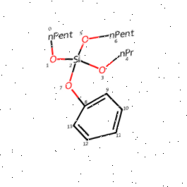 CCCCCO[Si](OCCC)(OCCCCC)Oc1ccccc1